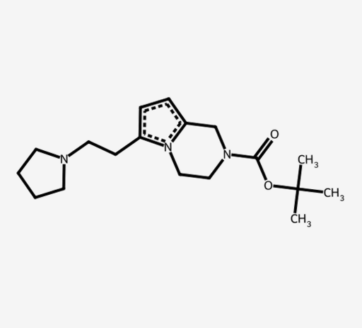 CC(C)(C)OC(=O)N1CCn2c(CCN3CCCC3)ccc2C1